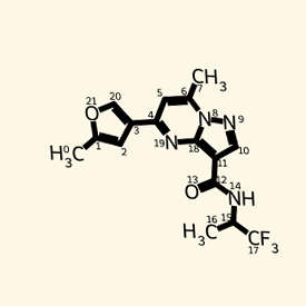 Cc1cc(-c2cc(C)n3ncc(C(=O)NC(C)C(F)(F)F)c3n2)co1